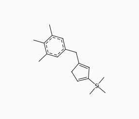 Cc1cc(CC2=CC([Si](C)(C)C)=CC2)cc(C)c1C